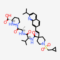 CC(C)c1ccc2ccc(/C=C/C3(C(=O)N[C@H](C(=O)N[C@@H](C)C(=O)N4CCC[C@@H](C(=O)O)N4)C(C)C)CCN(S(=O)(=O)CC4CC4)CC3)cc2n1